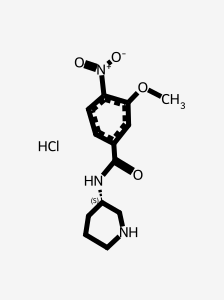 COc1cc(C(=O)N[C@H]2CCCNC2)ccc1[N+](=O)[O-].Cl